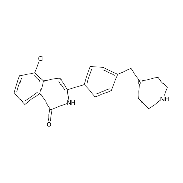 O=c1[nH]c(-c2ccc(CN3CCNCC3)cc2)cc2c(Cl)cccc12